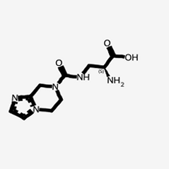 N[C@@H](CNC(=O)N1CCn2ccnc2C1)C(=O)O